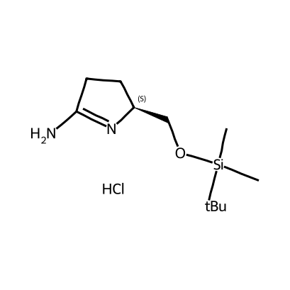 CC(C)(C)[Si](C)(C)OC[C@@H]1CCC(N)=N1.Cl